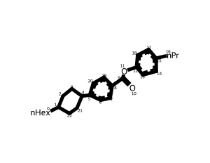 CCCCCCC1CCC(c2ccc(C(=O)Oc3ccc(CCC)cc3)cc2)CC1